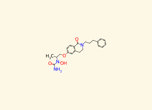 CC(COc1ccc2c(c1)CCN(CCCc1ccccc1)C2=O)N(O)C(N)=O